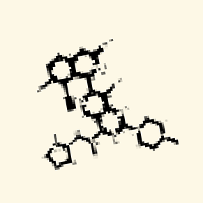 C#Cc1c(F)ccc2cc(=O)[nH]c(-c3ncc4c(N(C)C[C@H]5CCCN5)nc(N5CCN(C)CC5)nc4c3F)c12